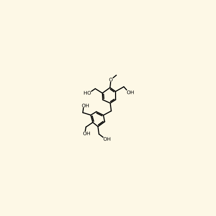 COc1c(CO)cc(Cc2cc(CO)c(CO)c(CO)c2)cc1CO